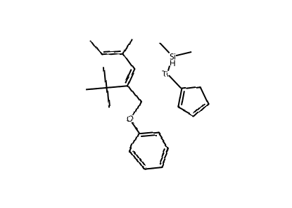 CC=C(C)C=C(COc1ccccc1)C(C)(C)C.C[SiH](C)[Ti][C]1=CC=CC1